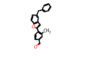 Cc1cc(C=O)ccc1-c1cc2cc(Cc3ccccc3)ccc2o1